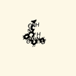 O=C(NC1CC1)c1cc2c(s1)-c1ccccc1N(C(=O)c1cccc(N[C@@H]3CCOC3)n1)CC2